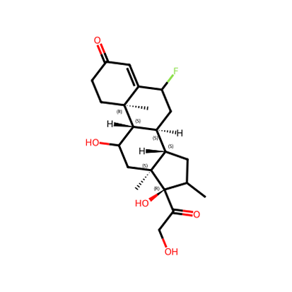 CC1C[C@H]2[C@@H]3CC(F)C4=CC(=O)CC[C@]4(C)[C@H]3C(O)C[C@]2(C)[C@@]1(O)C(=O)CO